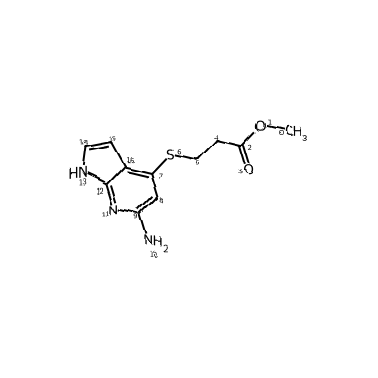 COC(=O)CCSc1cc(N)nc2[nH]ccc12